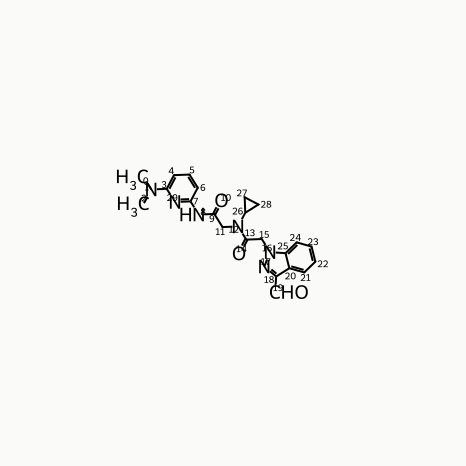 CN(C)c1cccc(NC(=O)CN(C(=O)Cn2nc(C=O)c3ccccc32)C2CC2)n1